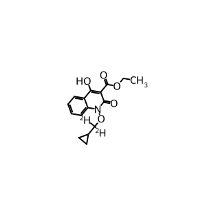 [2H]C([2H])(On1c(=O)c(C(=O)OCC)c(O)c2ccccc21)C1CC1